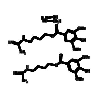 CO.COc1cc(C(=O)OCCCCNC(=N)N)cc(OC)c1O.COc1cc(C(=O)OCCCCNC(=N)N)cc(OC)c1O.O=S(=O)(O)O